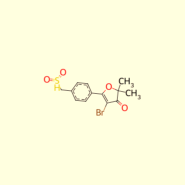 CC1(C)OC(c2ccc(C[SH](=O)=O)cc2)=C(Br)C1=O